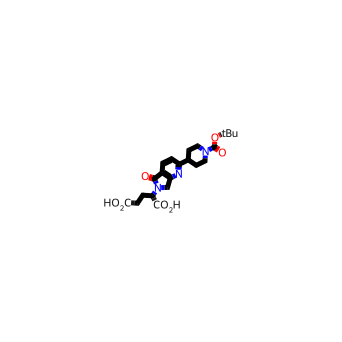 CC(C)(C)OC(=O)N1CCC(c2ccc3c(n2)CN(C(CCC(=O)O)C(=O)O)C3=O)CC1